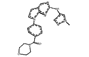 Cn1cc(Nc2ncc3ccn(-c4ccc(C(=O)N5CCOCC5)cc4)c3n2)cn1